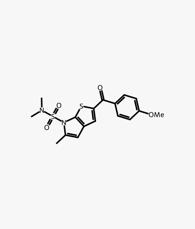 COc1ccc(C(=O)c2cc3cc(C)n(S(=O)(=O)N(C)C)c3s2)cc1